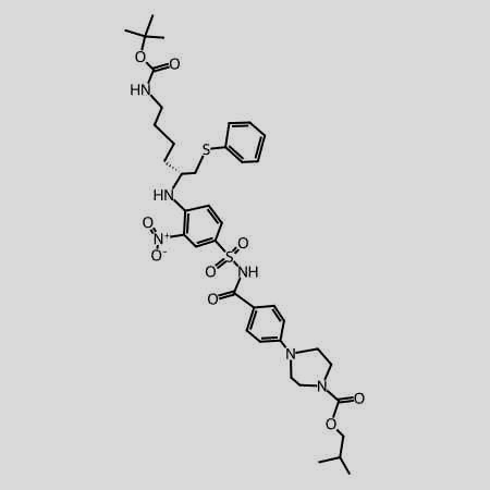 CC(C)COC(=O)N1CCN(c2ccc(C(=O)NS(=O)(=O)c3ccc(N[C@H](CCCCNC(=O)OC(C)(C)C)CSc4ccccc4)c([N+](=O)[O-])c3)cc2)CC1